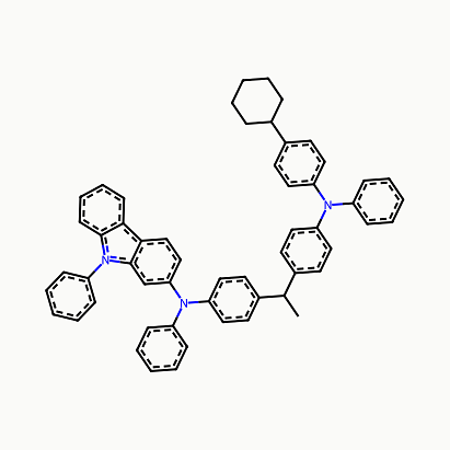 CC(c1ccc(N(c2ccccc2)c2ccc(C3CCCCC3)cc2)cc1)c1ccc(N(c2ccccc2)c2ccc3c4ccccc4n(-c4ccccc4)c3c2)cc1